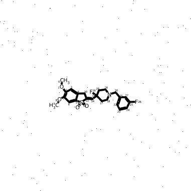 COc1cc2c(cc1OC)S(=O)(=O)/C(=C/C1(F)CCN(Cc3cccc(F)c3)CC1)C2